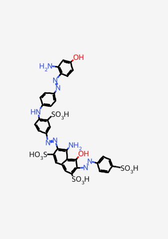 Nc1cc(O)ccc1/N=N/c1ccc(Nc2ccc(/N=N/c3c(S(=O)(=O)O)cc4cc(S(=O)(=O)O)c(/N=N/c5ccc(S(=O)(=O)O)cc5)c(O)c4c3N)cc2S(=O)(=O)O)cc1